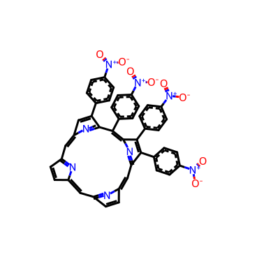 O=[N+]([O-])c1ccc(C2=CC3=CC4=NC(=CC5=NC(=CC6=NC(=C(c7ccc([N+](=O)[O-])cc7)C2=N3)C(c2ccc([N+](=O)[O-])cc2)=C6c2ccc([N+](=O)[O-])cc2)C=C5)C=C4)cc1